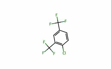 FC(F)(F)c1ccc(Cl)c(C(F)(F)F)c1